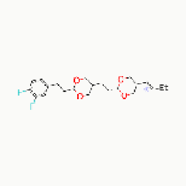 CC/C=C/[C@H]1CO[C@H](CCC2COC(CCc3ccc(F)c(F)c3)OC2)OC1